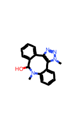 CN1c2ccccc2-c2c(nnn2C)-c2ccccc2C1O